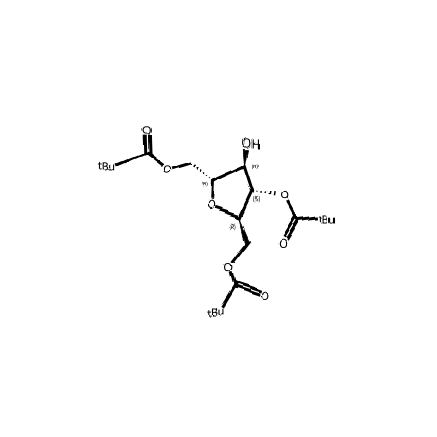 CC(C)(C)C(=O)OC[C@H]1O[C@H](COC(=O)C(C)(C)C)[C@@H](OC(=O)C(C)(C)C)[C@@H]1O